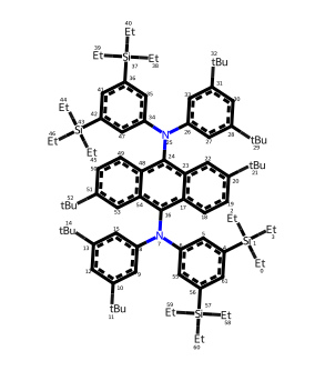 CC[Si](CC)(CC)c1cc(N(c2cc(C(C)(C)C)cc(C(C)(C)C)c2)c2c3ccc(C(C)(C)C)cc3c(N(c3cc(C(C)(C)C)cc(C(C)(C)C)c3)c3cc([Si](CC)(CC)CC)cc([Si](CC)(CC)CC)c3)c3ccc(C(C)(C)C)cc23)cc([Si](CC)(CC)CC)c1